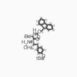 CC[C@H](C)[C@H](NC(=O)OCC1c2ccccc2-c2ccccc21)C(=O)N(N)[C@H](C=O)Cc1ccc(OC(C)(C)C)cc1